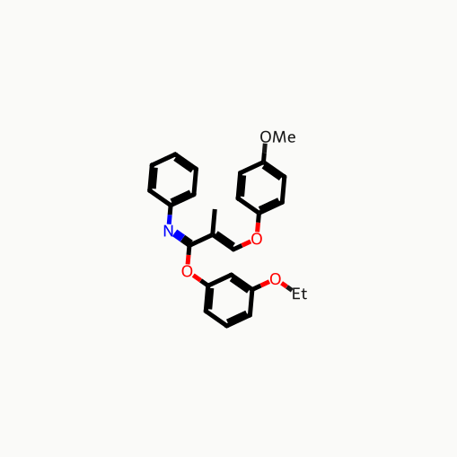 CCOc1cccc(O/C(=N/c2ccccc2)C(C)=COc2ccc(OC)cc2)c1